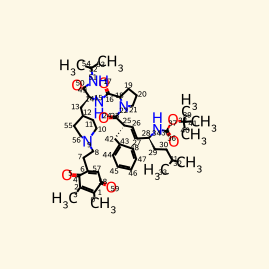 CC1=C(C)C(=O)C(CCN2CCC(C[C@H](NC(=O)C3CCCN3C(=O)[C@H](/C=C/[C@H](CCC(C)C)NC(=O)OC(C)(C)C)Cc3ccccc3)C(=O)NC(C)C)CC2)=CC1=O